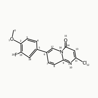 COc1ccc(-c2ccc3nc(Cl)cc(=O)n3c2)cc1F